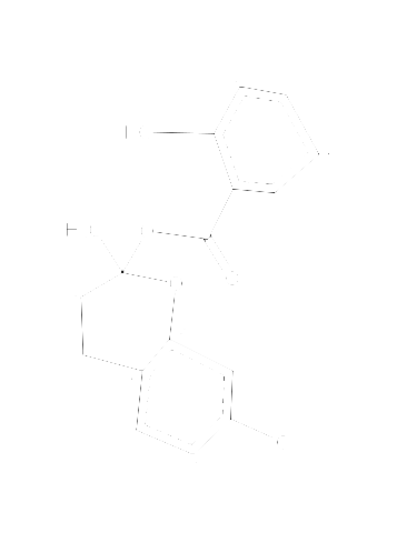 Cc1ccccc1C(=O)OC1(C)CCc2ccc(Cl)cc2O1